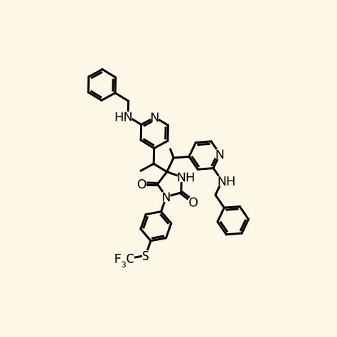 CC(c1ccnc(NCc2ccccc2)c1)C1(C(C)c2ccnc(NCc3ccccc3)c2)NC(=O)N(c2ccc(SC(F)(F)F)cc2)C1=O